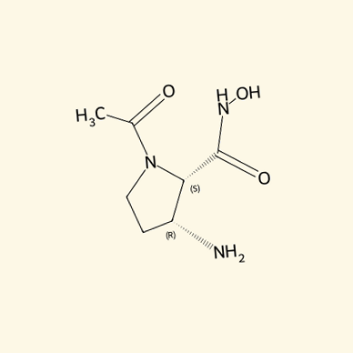 CC(=O)N1CC[C@@H](N)[C@H]1C(=O)NO